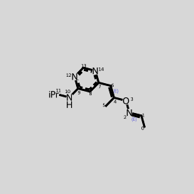 C/C=N/O/C(C)=C/c1cc(NC(C)C)ncn1